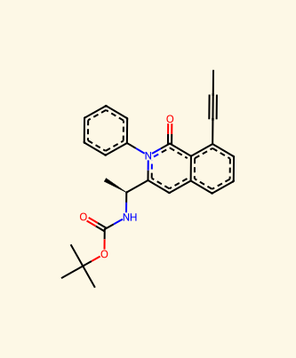 CC#Cc1cccc2cc([C@H](C)NC(=O)OC(C)(C)C)n(-c3ccccc3)c(=O)c12